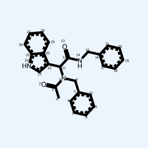 CC(=O)N(Cc1ccccc1)C(C(=O)NCc1ccccc1)c1c[nH]c2ccccc12